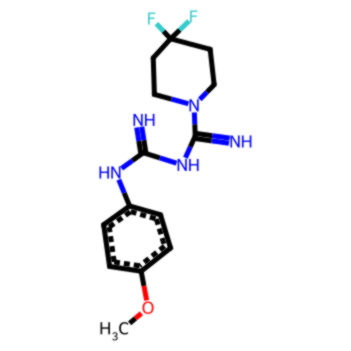 COc1ccc(NC(=N)NC(=N)N2CCC(F)(F)CC2)cc1